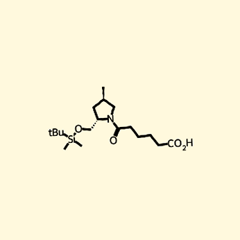 C[C@@H]1C[C@@H](CO[Si](C)(C)C(C)(C)C)N(C(=O)CCCCC(=O)O)C1